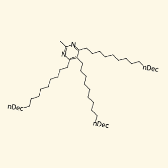 CCCCCCCCCCCCCCCCCCCc1nc(C)nc(CCCCCCCCCCCCCCCCCCC)c1CCCCCCCCCCCCCCCCCCC